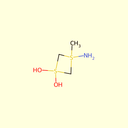 CS1(N)CS(O)(O)C1